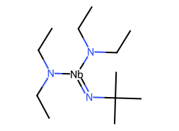 CC[N](CC)[Nb](=[N]C(C)(C)C)[N](CC)CC